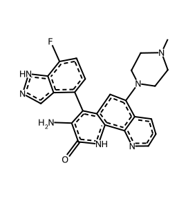 CN1CCN(c2cc3c(-c4ccc(F)c5[nH]ncc45)c(N)c(=O)[nH]c3c3ncccc23)CC1